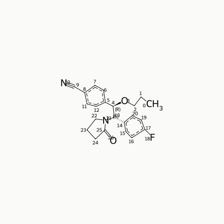 CCCO[C@H](c1ccc(C#N)cc1)[C@H](c1ccc(F)cc1)N1CCCC1=O